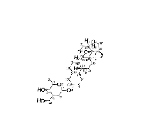 CC1OC(O[C@H]2CC[C@@]3(C)C(=CC[C@@H]4[C@@H]3CC[C@]3(C)[C@H]5[C@H]6CO[C@@]43O[C@]5(C)CO6)C2)CC(CO)C1O